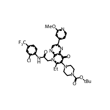 CCc1c(N2CCN(C(=O)OC(C)(C)C)CC2)c(=O)c2nc(-c3ccnc(OC)c3)cnc2n1CC(=O)Nc1ccc(C(F)(F)F)cc1Cl